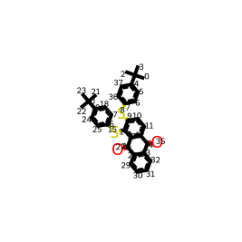 CC(C)(C)c1ccc(Sc2ccc3c(c2Sc2ccc(C(C)(C)C)cc2)C(=O)c2ccccc2C3=O)cc1